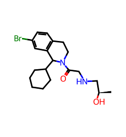 C[C@@H](O)CNCC(=O)N1CCc2ccc(Br)cc2C1C1CCCCC1